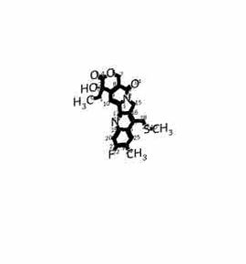 CC[C@@]1(O)C(=O)OCc2c1cc1n(c2=O)Cc2c-1nc1cc(F)c(C)cc1c2CSC